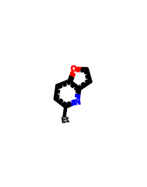 CCc1ccc2occc2n1